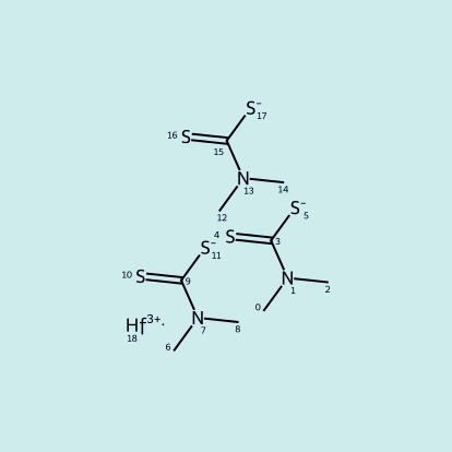 CN(C)C(=S)[S-].CN(C)C(=S)[S-].CN(C)C(=S)[S-].[Hf+3]